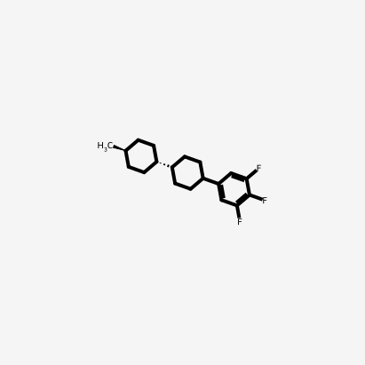 C[C@H]1CC[C@H](C2CCC(c3cc(F)c(F)c(F)c3)CC2)CC1